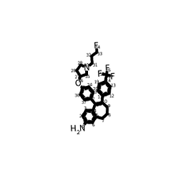 Nc1ccc2c(c1)CCCC(c1ccc(C(F)(F)F)cc1)=C2c1ccc(OC2CCN(CCCF)C2)cc1